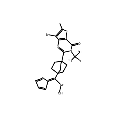 [2H]C([2H])([2H])n1c(C23CCC(C(NO)=C4C=CC=N4)(CC2)CC3)nc2c(Br)c(C)sc2c1=O